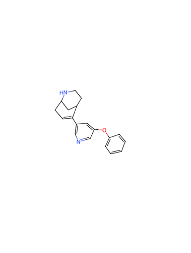 C1=C(c2cncc(Oc3ccccc3)c2)C2CCNC(C1)C2